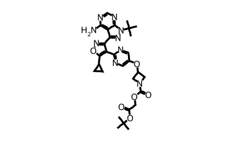 CC(C)(C)OC(=O)COC(=O)N1CC(Oc2cnc(-c3c(-c4nn(C(C)(C)C)c5ncnc(N)c45)noc3C3CC3)nc2)C1